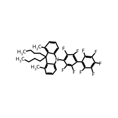 CCCCC1(CCCC)c2c(C)cccc2N(c2c(F)c(F)c(-c3c(F)c(F)c(F)c(F)c3F)c(F)c2F)c2cccc(C)c21